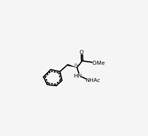 COC(=O)[C@H](Cc1ccccc1)NNC(C)=O